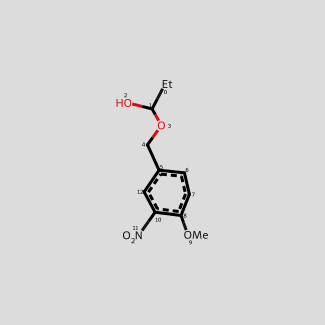 CCC(O)OCc1ccc(OC)c([N+](=O)[O-])c1